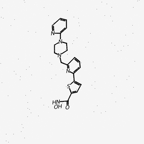 O=C(NO)c1ccc(-c2cccc(CN3CCN(c4ccccn4)CC3)n2)s1